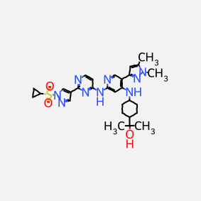 Cc1cc(-c2cnc(Nc3ccnc(-c4cnn(S(=O)(=O)C5CC5)c4)n3)cc2NC2CCC(C(C)(C)O)CC2)nn1C